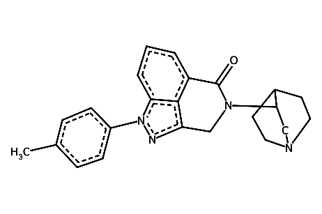 Cc1ccc(-n2nc3c4c(cccc42)C(=O)N(C2CN4CCC2CC4)C3)cc1